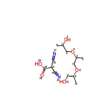 CC(O)COC(C)COC(C)CO.N#CC(C#N)C(=O)O